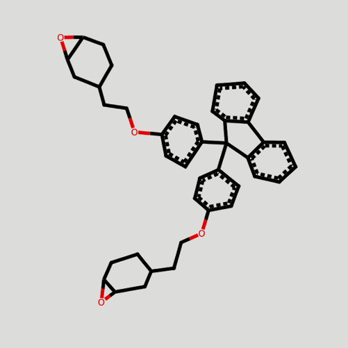 c1ccc2c(c1)-c1ccccc1C2(c1ccc(OCCC2CCC3OC3C2)cc1)c1ccc(OCCC2CCC3OC3C2)cc1